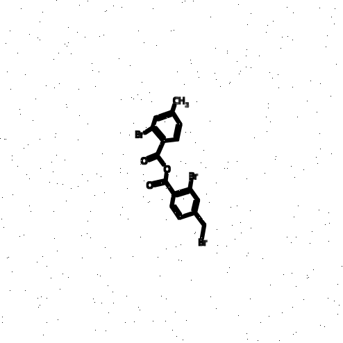 Cc1ccc(C(=O)OC(=O)c2ccc(CBr)cc2Br)c(Br)c1